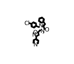 CN(CC1CC(c2ccncc2)=NO1)C(=O)c1cc2ccccc2n1Cc1ccc(Cl)cc1